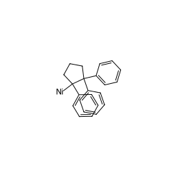 [Ni][C]1(c2ccccc2)CCCC1(c1ccccc1)c1ccccc1